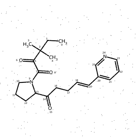 CCC(C)(C)C(=O)C(=O)N1CCCC1C(=O)CCC=Cc1cccnc1